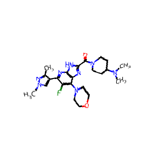 Cc1nn(C)cc1-c1nc2[nH]c(C(=O)N3CCC(N(C)C)CC3)nc2c(N2CCOCC2)c1F